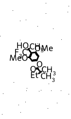 CCC(C)(C)C(=O)Oc1cc(OC)c(C(C)(O)C(F)(F)F)c(OC)c1